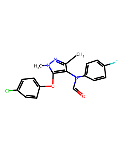 Cc1nn(C)c(Oc2ccc(Cl)cc2)c1N(C=O)c1ccc(F)cc1